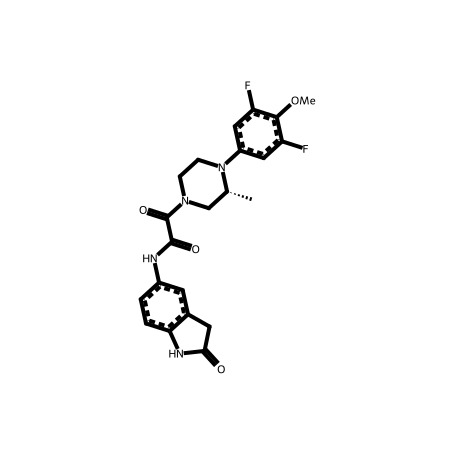 COc1c(F)cc(N2CCN(C(=O)C(=O)Nc3ccc4c(c3)CC(=O)N4)C[C@H]2C)cc1F